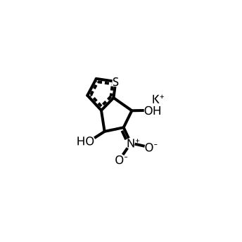 [K+].[O-][N+]([O-])=C1C(O)c2ccsc2C1O